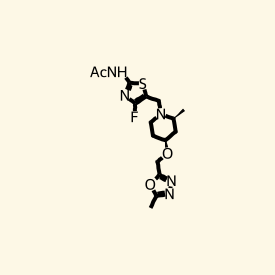 CC(=O)Nc1nc(F)c(CN2CC[C@H](OCc3nnc(C)o3)C[C@@H]2C)s1